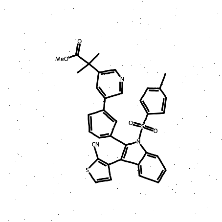 COC(=O)C(C)(C)c1cncc(-c2cccc(-c3c(-c4ccsc4C#N)c4ccccc4n3S(=O)(=O)c3ccc(C)cc3)c2)c1